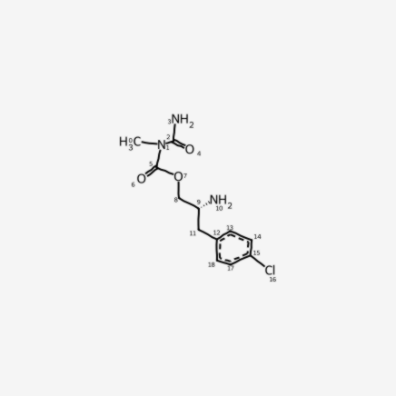 CN(C(N)=O)C(=O)OC[C@H](N)Cc1ccc(Cl)cc1